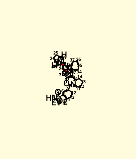 CCNS(=O)(=O)c1cc(C(=O)N2CCCCC2c2ccc(CCN3[C@@H]4CC[C@H]3CC(n3c(C)nc5ccccc53)C4)cc2)ccc1F